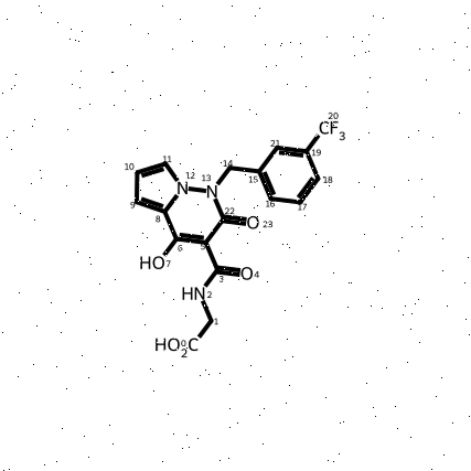 O=C(O)CNC(=O)c1c(O)c2cccn2n(Cc2cccc(C(F)(F)F)c2)c1=O